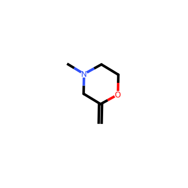 C=C1CN(C)CCO1